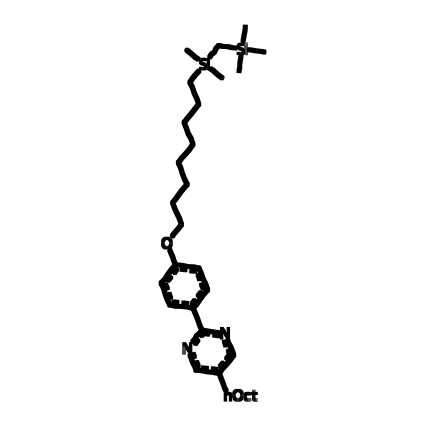 CCCCCCCCc1cnc(-c2ccc(OCCCCCCCC[Si](C)(C)C[Si](C)(C)C)cc2)nc1